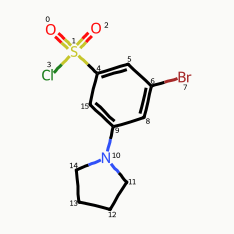 O=S(=O)(Cl)c1cc(Br)cc(N2CCCC2)c1